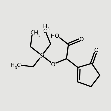 CC[Si](CC)(CC)OC(C(=O)O)C1=CCCC1=O